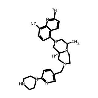 [2H]c1ccc2c(N3C[C@@H]4CN(Cc5ccc(N6CCNCC6)nc5)CCN4[C@H](C)C3)ccc(C#N)c2n1